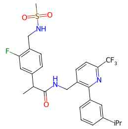 CC(C)c1cccc(-c2nc(C(F)(F)F)ccc2CNC(=O)C(C)c2ccc(CNS(C)(=O)=O)c(F)c2)c1